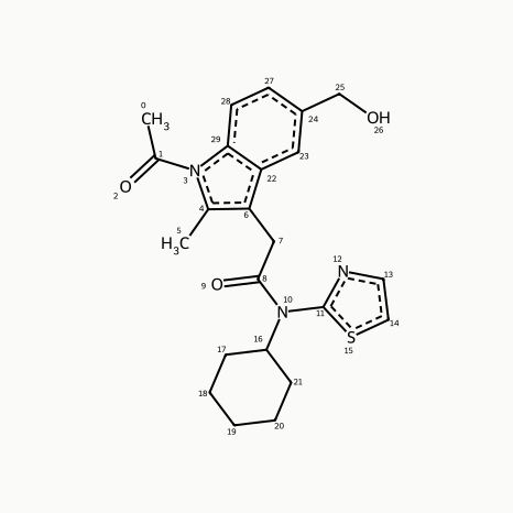 CC(=O)n1c(C)c(CC(=O)N(c2nccs2)C2CCCCC2)c2cc(CO)ccc21